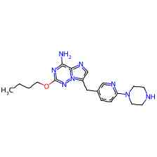 CCCCOc1nc(N)c2ncc(Cc3ccc(N4CCNCC4)nc3)n2n1